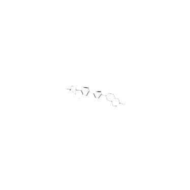 CC1CCC2CC(c3ccc(-c4ccc(C5=NC(C)(C)CO5)c(F)c4)cc3)CCC2C1